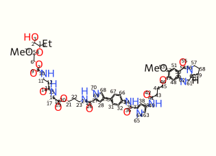 CCC(CO)OC(COC(=O)NCCC(=O)N[C@@H](C)C(=O)OCCCNC(=O)c1cc(-c2ccc(NC(=O)c3cc(NC(=O)CCCOc4cc5c(cc4OC)C(=O)N4CCC[C@H]4C=N5)cn3C)cc2)cn1C)OC